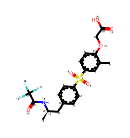 Cc1cc(S(=O)(=O)c2ccc(C[C@@H](C)NC(=O)C(F)(F)F)cc2)ccc1OCC(=O)O